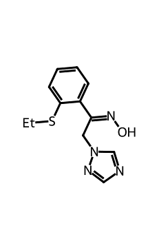 CCSc1ccccc1/C(Cn1cncn1)=N/O